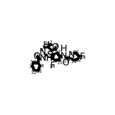 O=C(NC1=NC[C@H]2COC[C@]2(c2cc(F)cc(NC(=O)c3ccc(F)cn3)c2)S1)c1ccccc1